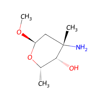 CO[C@H]1C[C@](C)(N)[C@H](O)[C@H](C)O1